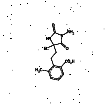 CCC1(CCc2c(C)cccc2C(=O)O)NC(=O)N(N)C1=O